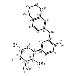 CC(=O)O[C@@H]1[C@@H](OC(C)=O)[C@H](C)[C@H](Br)O[C@H]1c1ccc(Cl)c(Cc2ccc3c(c2)OCCO3)c1